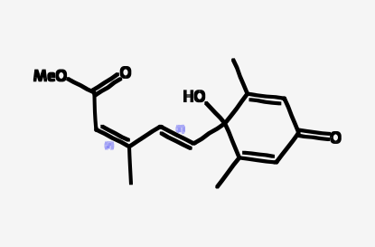 COC(=O)/C=C(C)\C=C\C1(O)C(C)=CC(=O)C=C1C